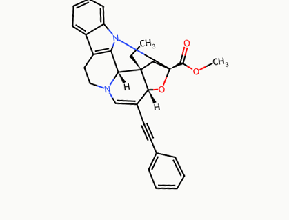 CC[C@@]12C[C@@]3(C(=O)OC)O[C@@H]1C(C#Cc1ccccc1)=CN1CCc4c(n3c3ccccc43)[C@@H]12